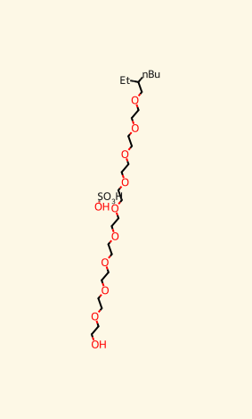 CCCCC(CC)COCCOCCOCCOCCOCCOCCOCCOCCOCCO.O=S(=O)(O)O